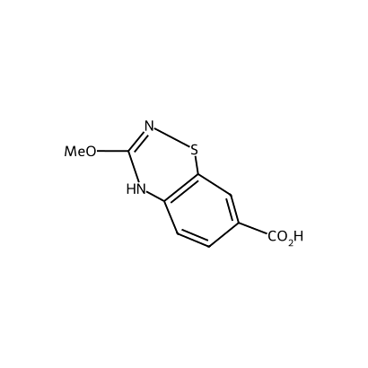 COC1=NSc2cc(C(=O)O)ccc2N1